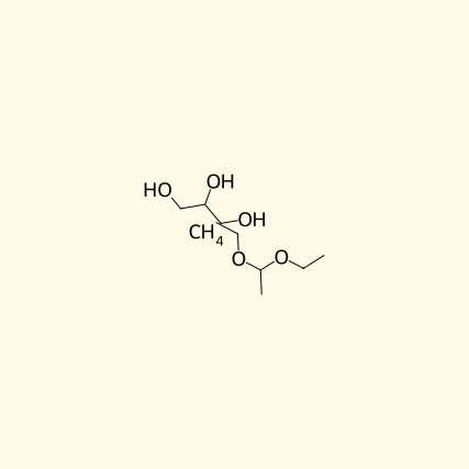 C.CCOC(C)OCC.OCC(O)CO